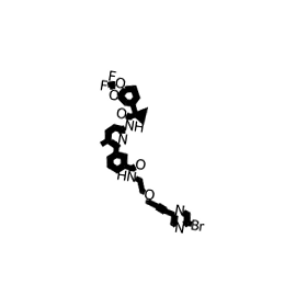 Cc1ccc(NC(=O)C2(c3ccc4c(c3)OC(F)(F)O4)CC2)nc1-c1cccc(C(=O)NCCOCC#Cc2cnc(Br)cn2)c1